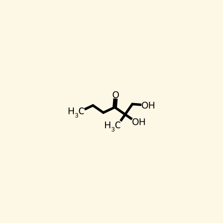 CCCC(=O)C(C)(O)CO